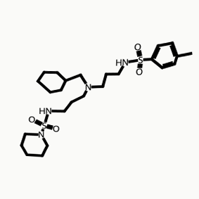 Cc1ccc(S(=O)(=O)NCCCN(CCCNS(=O)(=O)N2CCCCC2)CC2CCCCC2)cc1